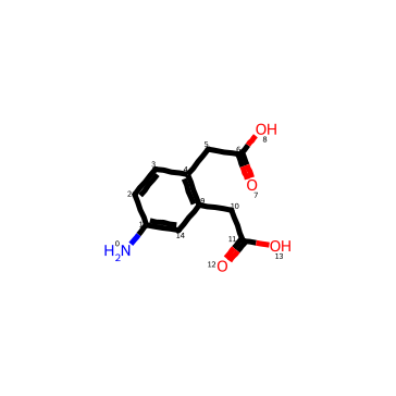 Nc1ccc(CC(=O)O)c(CC(=O)O)c1